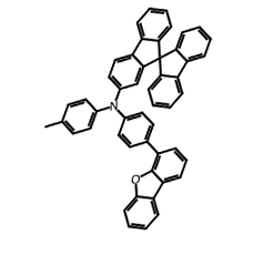 Cc1ccc(N(c2ccc(-c3cccc4c3oc3ccccc34)cc2)c2ccc3c(c2)C2(c4ccccc4-c4ccccc42)c2ccccc2-3)cc1